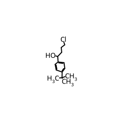 CC(C)(C)c1ccc(C(O)CCCCl)cc1